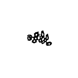 c1cc(-c2c3ccccc3c(C3C4CC5CC(C4)CC3C5)c3ccccc23)c2c(c1)sc1c(-c3c4ccccc4c(C4C5CCC6CCC(C5)CC64)c4ccccc34)cccc12